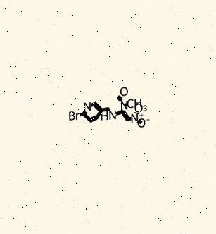 CN(C=O)C(=C[N+](=O)[O-])NCc1ccc(Br)nc1